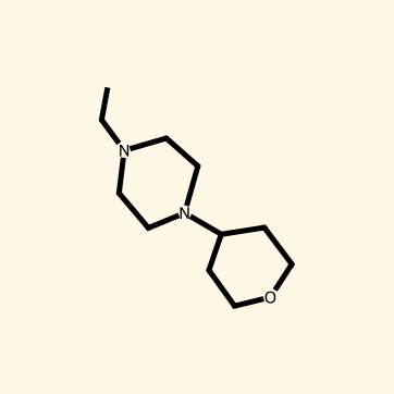 CCN1CCN(C2CCOCC2)CC1